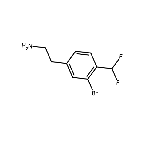 NCCc1ccc(C(F)F)c(Br)c1